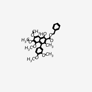 COc1ccc(-c2c(C)c(C(=O)OCc3ccccc3)c(O)c3cc(OC)c(OC)c(OC)c23)cc1OC